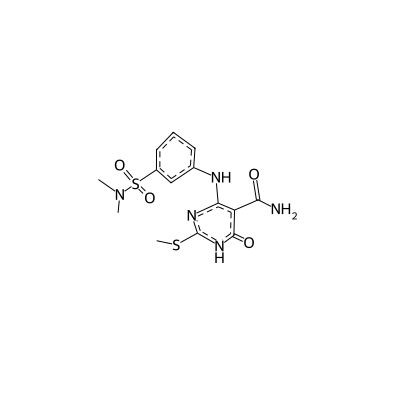 CSc1nc(Nc2cccc(S(=O)(=O)N(C)C)c2)c(C(N)=O)c(=O)[nH]1